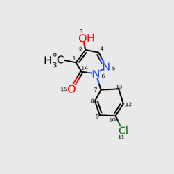 Cc1c(O)cnn(C2C=CC(Cl)=CC2)c1=O